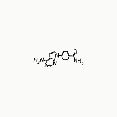 NC(=O)c1ccc(-n2ccc3c(N)ncnc32)cc1